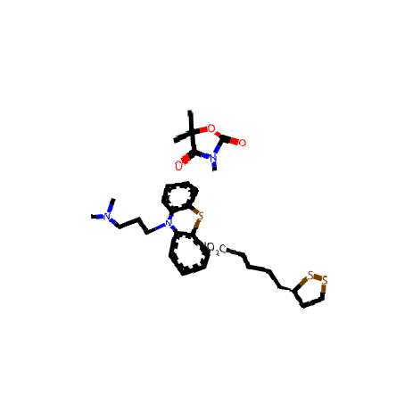 CN(C)CCCN1c2ccccc2Sc2ccccc21.CN1C(=O)OC(C)(C)C1=O.O=C(O)CCCC[C@@H]1CCSS1